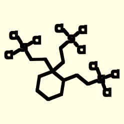 Cl[Si](Cl)(Cl)CCC1CCCCC1(CC[Si](Cl)(Cl)Cl)CC[Si](Cl)(Cl)Cl